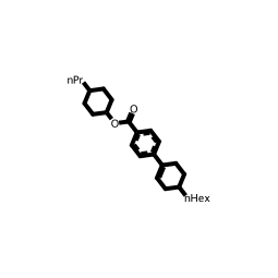 CCCCCCC1CC=C(c2ccc(C(=O)OC3CCC(CCC)CC3)cc2)CC1